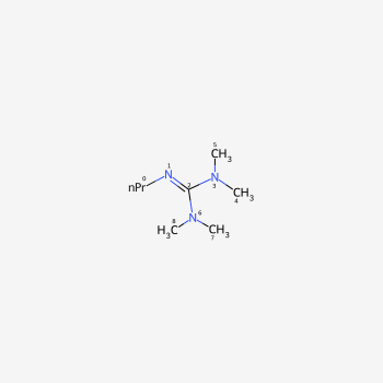 CCCN=C(N(C)C)N(C)C